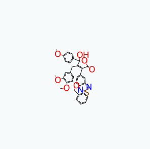 COc1ccc(C2(O)OC(=O)C(c3ccc4nsnc4c3)=C2Cc2cc(OC)c(OC)c(OCc3ccccc3)c2)cc1